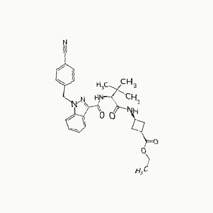 CCOC(=O)[C@H]1C[C@@H](NC(=O)[C@@H](NC(=O)c2nn(Cc3ccc(C#N)cc3)c3ccccc23)C(C)(C)C)C1